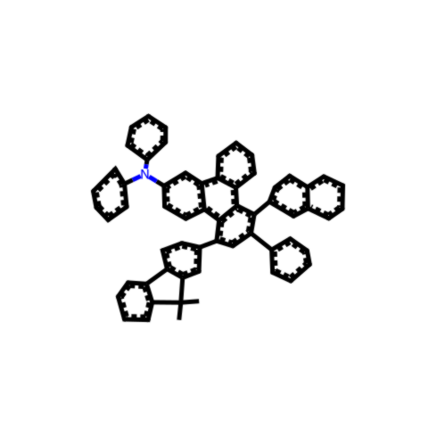 CC1(C)c2ccccc2-c2ccc(-c3cc(-c4ccccc4)c(-c4ccc5ccccc5c4)c4c5ccccc5c5cc(N(c6ccccc6)c6ccccc6)ccc5c34)cc21